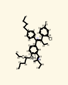 CCCCc1ccc(/C(=C(/CC)c2ccc(F)cc2Cl)c2ccc(NC(CCC)CCC)c(/C=C(\C)CC)c2)cc1